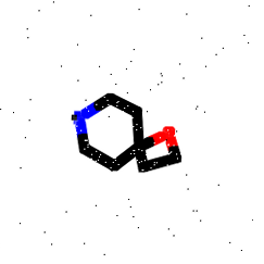 C1CC2(CC[N]1)CCO2